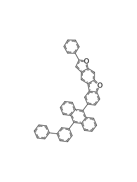 c1ccc(-c2cccc(-c3c4ccccc4c(-c4ccc5oc6cc7oc(-c8ccccc8)cc7cc6c5c4)c4ccccc34)c2)cc1